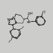 OC(Nc1cccc(Cl)c1)N1CCn2ncc(-c3cc(F)ccc3F)c2C1